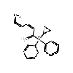 C=C(/C=C\C=C/C)[PH](c1ccccc1)(C1C=CC=CC1)C1CC1